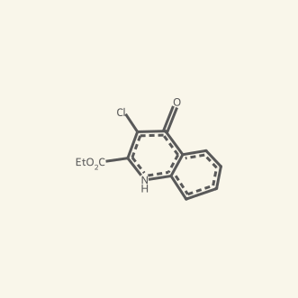 CCOC(=O)c1[nH]c2ccccc2c(=O)c1Cl